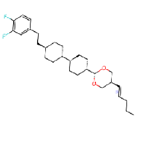 CCC/C=C/[C@H]1CO[C@H]([C@H]2CC[C@H]([C@H]3CC[C@H](CCc4ccc(F)c(F)c4)CC3)CC2)OC1